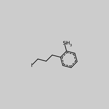 [SiH3]c1ccccc1CCCI